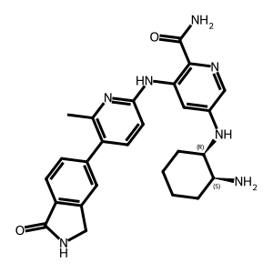 Cc1nc(Nc2cc(N[C@@H]3CCCC[C@@H]3N)cnc2C(N)=O)ccc1-c1ccc2c(c1)CNC2=O